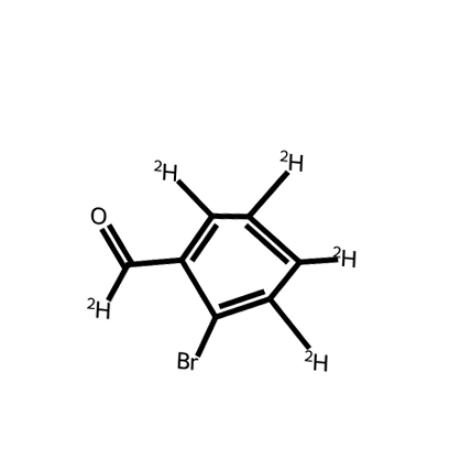 [2H]C(=O)c1c([2H])c([2H])c([2H])c([2H])c1Br